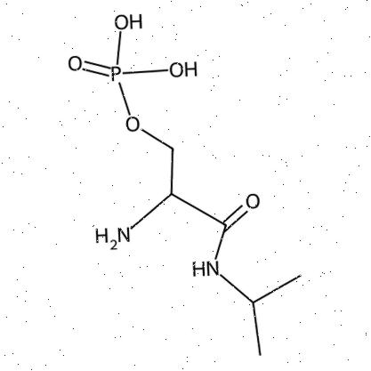 CC(C)NC(=O)C(N)COP(=O)(O)O